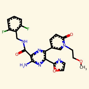 COCCn1cc(-c2nc(C(=O)NCc3c(F)cccc3F)c(N)nc2-c2ncco2)ccc1=O